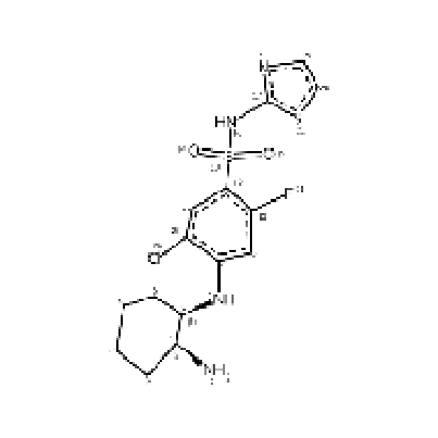 N[C@H]1CCCC[C@H]1Nc1cc(F)c(S(=O)(=O)Nc2nccs2)cc1Cl